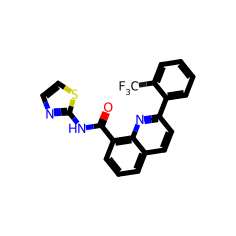 O=C(Nc1nccs1)c1cccc2ccc(-c3ccccc3C(F)(F)F)nc12